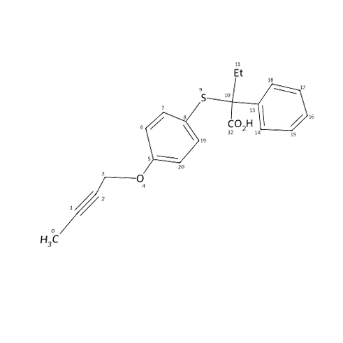 CC#CCOc1ccc(SC(CC)(C(=O)O)c2ccccc2)cc1